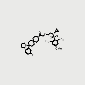 COc1cc(C)c(S(=O)(=O)N(CCOCC(=O)N2CCC3(CC2)CCC(c2cccc(F)c2)(N2CCCC2)CC3)C2CC2)c(C)c1